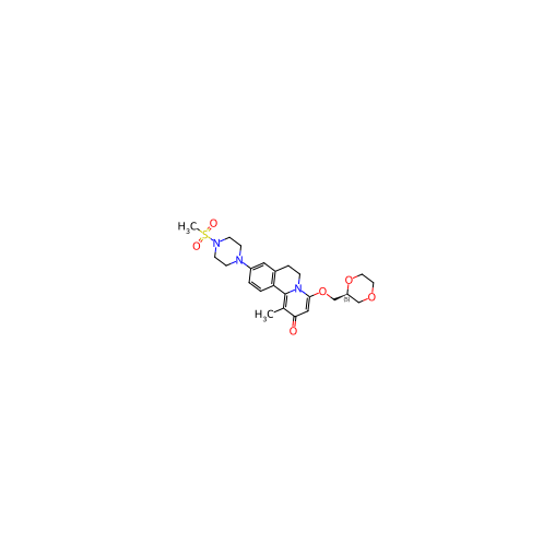 Cc1c2n(c(OC[C@@H]3COCCO3)cc1=O)CCc1cc(N3CCN(S(C)(=O)=O)CC3)ccc1-2